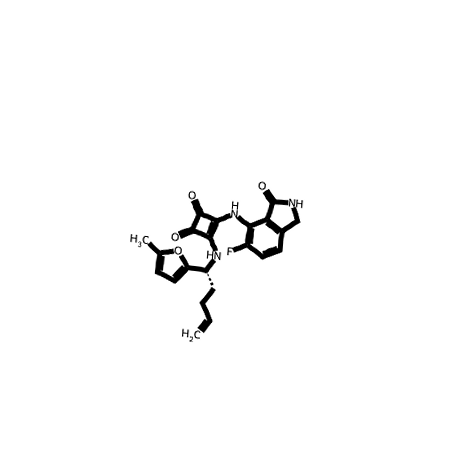 C=CCC[C@@H](Nc1c(Nc2c(F)ccc3c2C(=O)NC3)c(=O)c1=O)c1ccc(C)o1